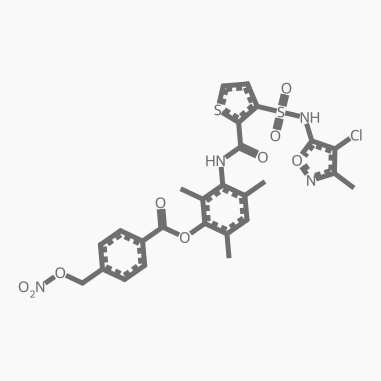 Cc1cc(C)c(OC(=O)c2ccc(CO[N+](=O)[O-])cc2)c(C)c1NC(=O)c1sccc1S(=O)(=O)Nc1onc(C)c1Cl